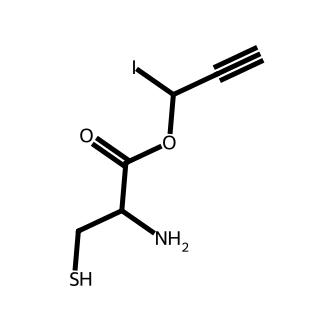 C#CC(I)OC(=O)C(N)CS